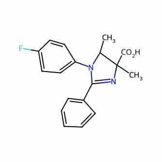 CC1N(c2ccc(F)cc2)C(c2ccccc2)=NC1(C)C(=O)O